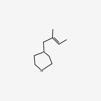 CC=C(C)CN1CC[N]CC1